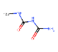 CCCCNC(=O)NC(N)=O